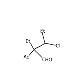 CCC(Cl)C(C=O)(CC)C(C)=O